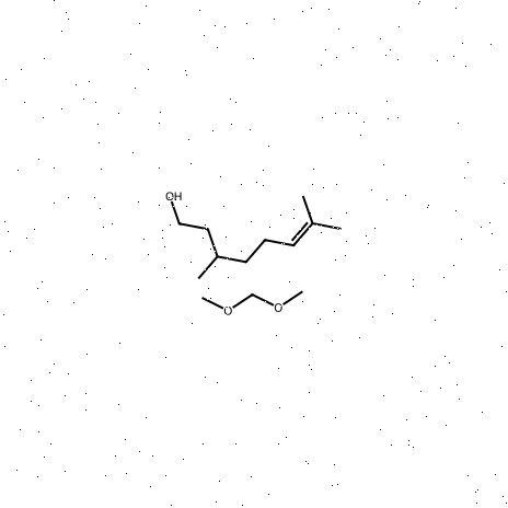 CC(C)=CCCC(C)CCO.COCOC